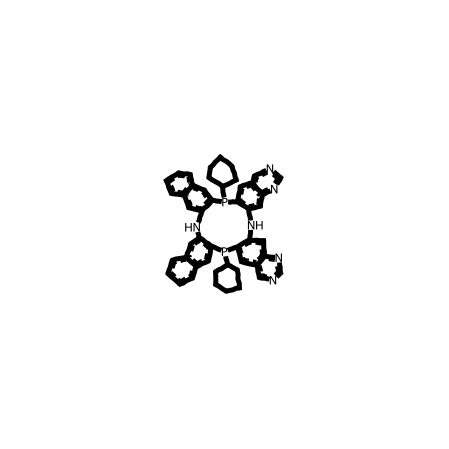 c1ccc2cc3c(cc2c1)Nc1cc2ccccc2cc1P(C1CCCCC1)c1cc2cncnc2cc1Nc1cc2ncncc2cc1P3C1CCCCC1